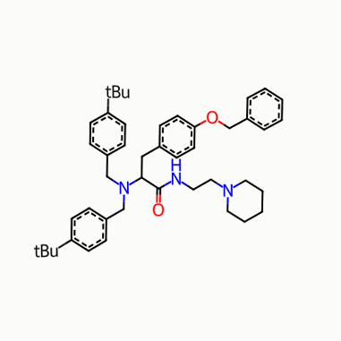 CC(C)(C)c1ccc(CN(Cc2ccc(C(C)(C)C)cc2)C(Cc2ccc(OCc3ccccc3)cc2)C(=O)NCCN2CCCCC2)cc1